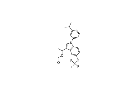 CC(C)c1cccc(-n2cc(C(C)OC=O)c3cc(OC(F)(F)F)ccc32)c1